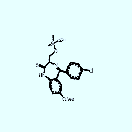 COc1ccc2c(c1)C(c1ccc(Cl)cc1)=NC(CO[Si](C)(C)C(C)(C)C)C(=S)N2